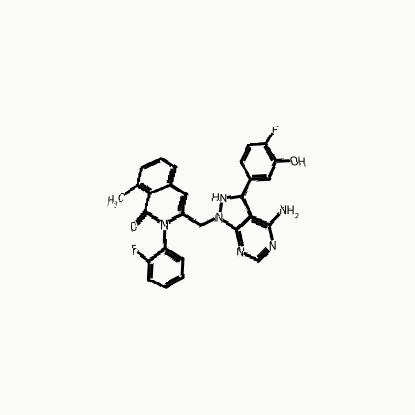 Cc1cccc2cc(CN3NC(c4ccc(F)c(O)c4)c4c(N)ncnc43)n(-c3ccccc3F)c(=O)c12